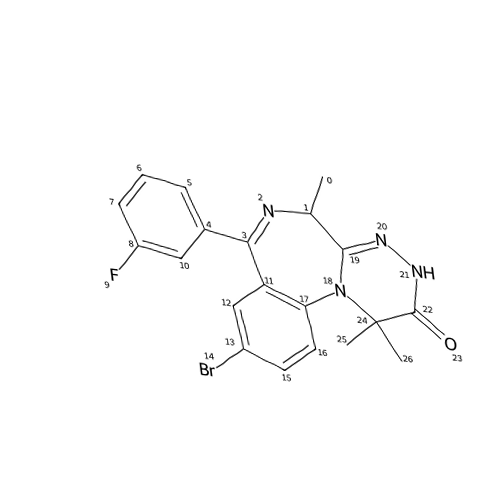 CC1N=C(c2cccc(F)c2)c2cc(Br)ccc2N2C1=NNC(=O)C2(C)C